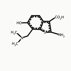 CN(C)Cc1c(O)ccc2c(C(=O)O)c(N)sc12